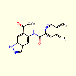 C=C/C=N\C(=C/C=C)C(=O)NC1=CC2C=NNC2C=C1C(=O)OC